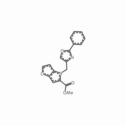 COC(=O)c1cc2occc2n1Cc1coc(-c2ccccc2)n1